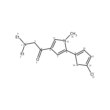 CCN(CC)CC(=O)c1cc(-c2ccc(Cl)s2)n(C)c1